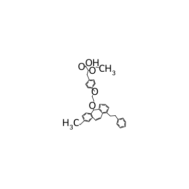 CCOC(Cc1ccc(OCCOC2c3ccc(CC)cc3C=Cc3c(CCc4ccccc4)cccc32)cc1)C(=O)O